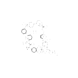 C=CC(=O)N1CCN(c2ccc(CCC(=O)N3CCCC(C4CCN(C(=O)c5cccc(-c6nc(NC(=O)C7(c8ccc9c(c8)OC(F)(F)O9)CC7)ccc6C)c5)CC4)C3)o2)C(=O)C1